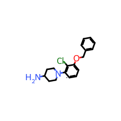 NC1CCN(c2[c]ccc(OCc3ccccc3)c2Cl)CC1